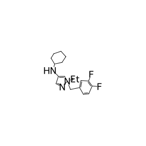 CC[N+]1(Cc2ccc(F)c(F)c2)C=C(NC2CCCCC2)C=N1